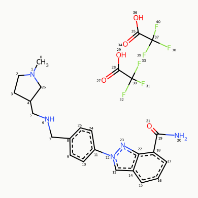 CN1CCC(CNCc2ccc(-n3cc4cccc(C(N)=O)c4n3)cc2)C1.O=C(O)C(F)(F)F.O=C(O)C(F)(F)F